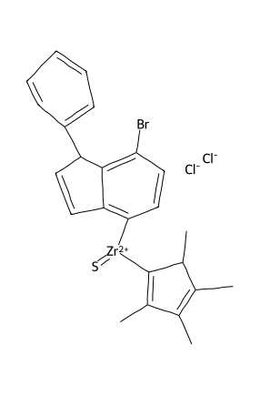 CC1=C(C)C(C)[C]([Zr+2](=[S])[c]2ccc(Br)c3c2C=CC3c2ccccc2)=C1C.[Cl-].[Cl-]